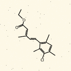 CCOC(=O)C=C(C)C=Cc1c(C)cc(C)c(Cl)c1C